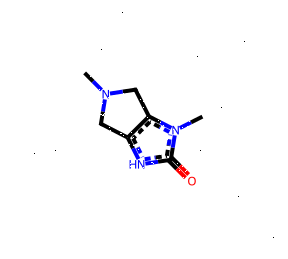 CN1Cc2[nH]c(=O)n(C)c2C1